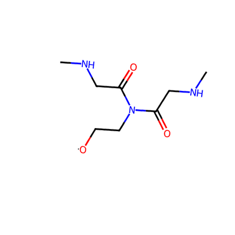 CNCC(=O)N(CC[O])C(=O)CNC